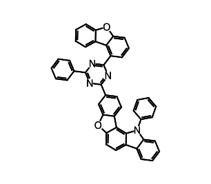 c1ccc(-c2nc(-c3ccc4c(c3)oc3ccc5c6ccccc6n(-c6ccccc6)c5c34)nc(-c3cccc4oc5ccccc5c34)n2)cc1